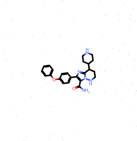 NC(=O)c1c(-c2ccc(Oc3ccccc3)cc2)nc2n1NCCC2C1CCNCC1